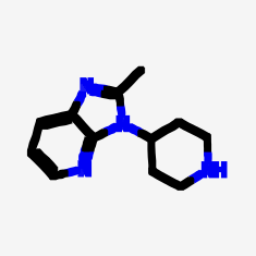 Cc1nc2cccnc2n1C1CCNCC1